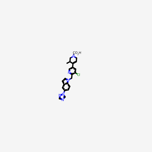 CC1CN(C(=O)O)CC=C1c1cnc(Cn2ccc3cc(-n4cncn4)ccc32)c(Cl)c1